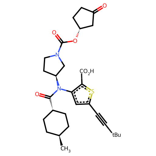 CC(C)(C)C#Cc1cc(N(C(=O)[C@H]2CC[C@H](C)CC2)[C@H]2CCN(C(=O)O[C@@H]3CCC(=O)C3)C2)c(C(=O)O)s1